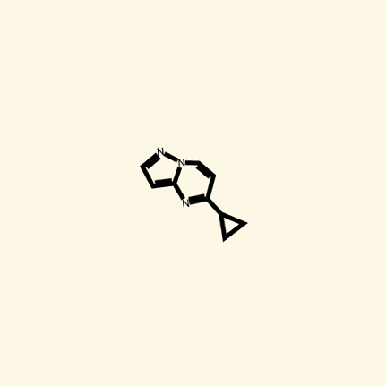 c1cc2nc(C3CC3)ccn2n1